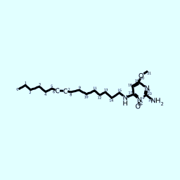 CCCCCCCCCCCCCCCCNc1cc(OC)nc(N)[n+]1[O-]